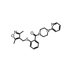 Cc1noc(C)c1CSc1ccccc1C(=O)N1CCN(c2ccccn2)CC1